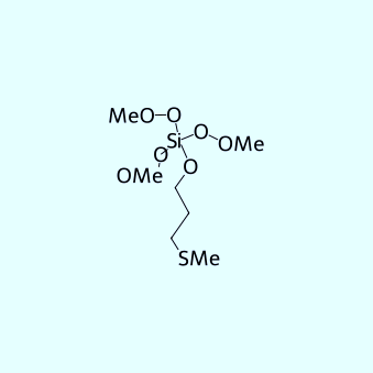 COO[Si](OCCCSC)(OOC)OOC